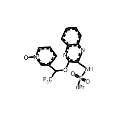 CCCS(=O)(=O)Nc1nc2ccccc2nc1OC(c1ccc[n+]([O-])c1)C(F)(F)F